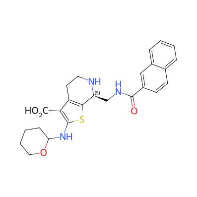 O=C(NC[C@@H]1NCCc2c1sc(NC1CCCCO1)c2C(=O)O)c1ccc2ccccc2c1